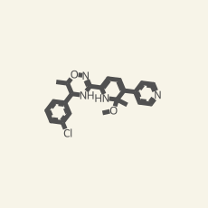 COC1(C)NC(C2=NOC(C)C(c3cccc(Cl)c3)N2)=CC=C1c1ccncc1